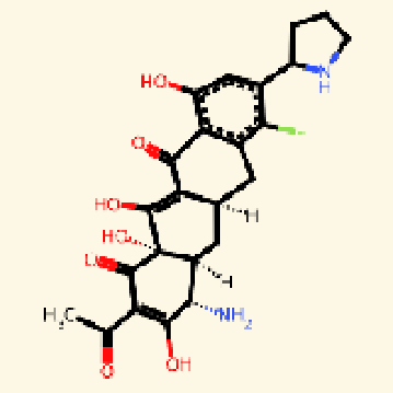 CC(=O)C1=C(O)[C@@H](N)[C@@H]2C[C@@H]3Cc4c(F)c(C5CCCN5)cc(O)c4C(=O)C3=C(O)[C@]2(O)C1=O